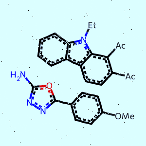 CCn1c2ccccc2c2ccc(C(C)=O)c(C(C)=O)c21.COc1ccc(-c2nnc(N)o2)cc1